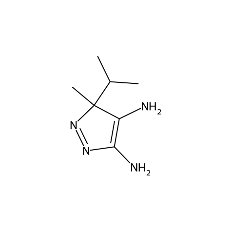 CC(C)C1(C)N=NC(N)=C1N